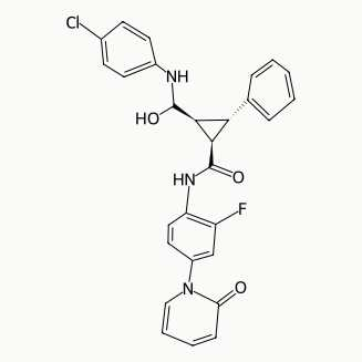 O=C(Nc1ccc(-n2ccccc2=O)cc1F)[C@@H]1[C@@H](c2ccccc2)[C@@H]1C(O)Nc1ccc(Cl)cc1